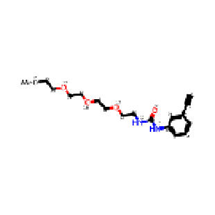 C#Cc1cccc(NC(=O)NCCOCCOCCOCCOC)c1